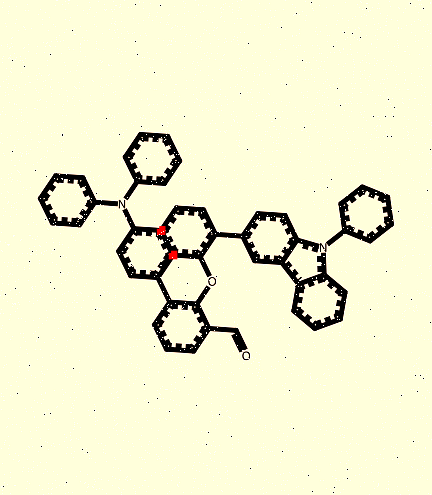 Cc1cccc(-c2ccc3c(c2)c2ccccc2n3-c2ccccc2)c1Oc1c(C=O)cccc1-c1ccc(N(c2ccccc2)c2ccccc2)cc1